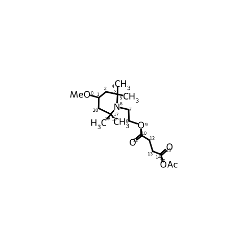 COC1CC(C)(C)N(CCOC(=O)CCC(=O)OC(C)=O)C(C)(C)C1